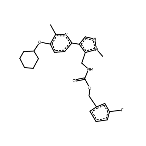 Cc1nc(-c2cnn(C)c2CNC(=O)OCc2cccc(F)c2)ccc1OC1CCCCC1